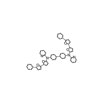 c1ccc(-c2ccc(-c3ccc(N(c4ccc(-c5ccc(N(c6ccccn6)c6ccc(-c7ccc(-c8ccccc8)o7)o6)cc5)cc4)c4ccccn4)o3)o2)cc1